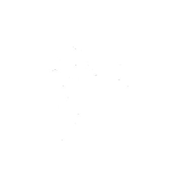 CN(C(=O)c1ccc(Cl)cc1)c1cn2c(-c3ccc(C(F)(F)F)cc3)cnc2cn1